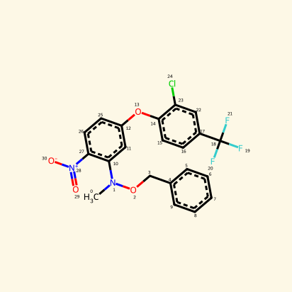 CN(OCc1ccccc1)c1cc(Oc2ccc(C(F)(F)F)cc2Cl)ccc1[N+](=O)[O-]